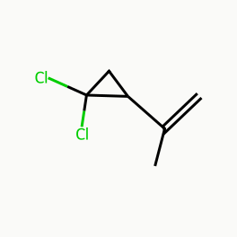 C=C(C)C1CC1(Cl)Cl